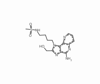 CS(=O)(=O)NCCCCn1c(CO)nc2c(N)nc3cccnc3c21